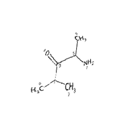 CC(C)C(=O)C(C)N